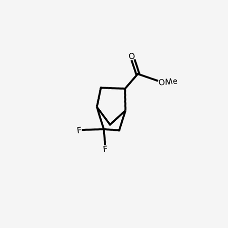 COC(=O)C1CC2CC1CC2(F)F